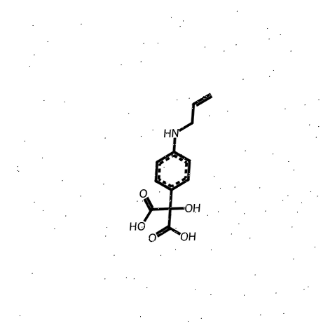 C=CCNc1ccc(C(O)(C(=O)O)C(=O)O)cc1